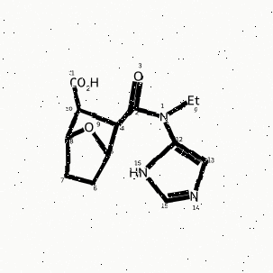 CCN(C(=O)C1C2CCC(O2)C1C(=O)O)c1cnc[nH]1